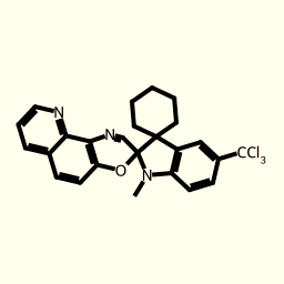 CN1c2ccc(C(Cl)(Cl)Cl)cc2C2(CCCCC2)C12C=Nc1c(ccc3cccnc13)O2